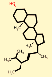 CC[C@H](/C=C/[C@@H](C)C1CCC2C3CCC4C[C@@H](O)CC[C@]4(C)C3CC[C@@]21C)C(C)C